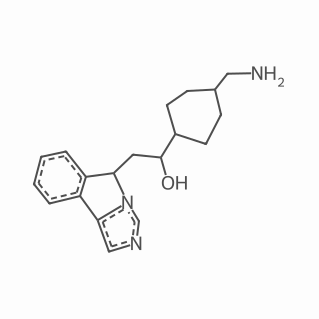 NCC1CCC(C(O)CC2c3ccccc3-c3cncn32)CC1